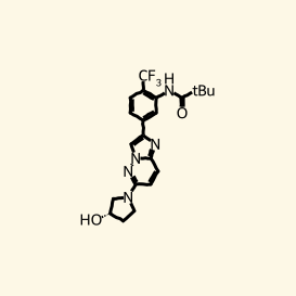 CC(C)(C)C(=O)Nc1cc(-c2cn3nc(N4CC[C@H](O)C4)ccc3n2)ccc1C(F)(F)F